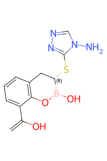 C=C(O)c1cccc2c1OB(O)[C@@H](Sc1nncn1N)C2